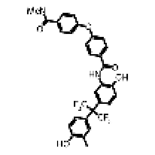 CNC(=O)c1ccc(Oc2ccc(C(=O)Nc3cc(C(c4ccc(O)c(C)c4)(C(F)(F)F)C(F)(F)F)ccc3O)cc2)cc1